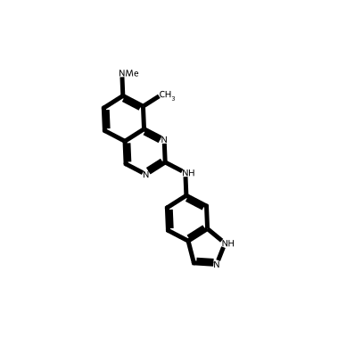 CNc1ccc2cnc(Nc3ccc4cn[nH]c4c3)nc2c1C